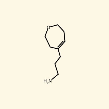 NCCCC1=CCCOCC1